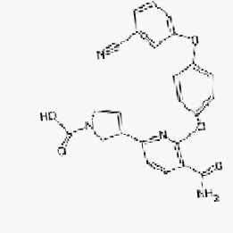 N#Cc1cccc(Oc2ccc(Oc3nc(C4=CCN(C(=O)O)C4)ccc3C(N)=O)cc2)c1